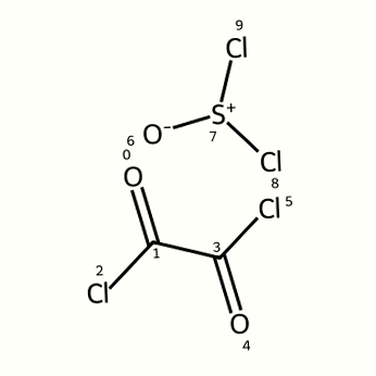 O=C(Cl)C(=O)Cl.[O-][S+](Cl)Cl